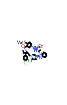 CCOCCn1c(N2CCCN(CCC3(c4ccc(Cl)c(Cl)c4)CCN(C(=O)c4cc(-n5cnnn5)ccc4SC)C3)CC2)nc2ccccc21